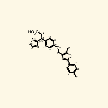 Cc1ccc(-c2cc(COc3ccc([C@H](CC(=O)O)c4ccon4)cc3)c(C)o2)cc1